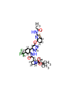 CC(=O)Nc1nc2c(Oc3cc(-c4ccc(C(F)(F)F)cc4NC(=O)CC4CCCN4C(=O)OC(C)(C)C)ncn3)cccc2s1